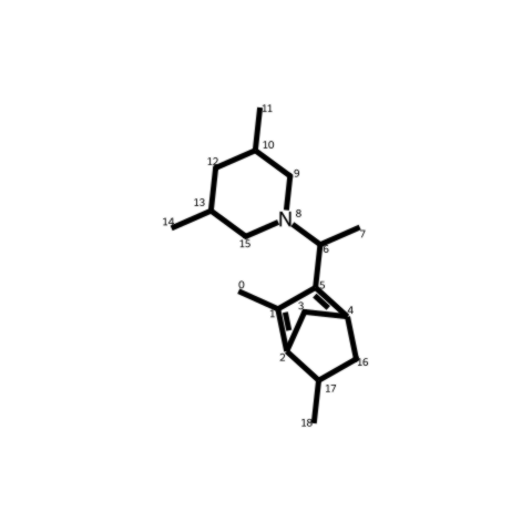 CC1=C2CC(=C1C(C)N1CC(C)CC(C)C1)CC2C